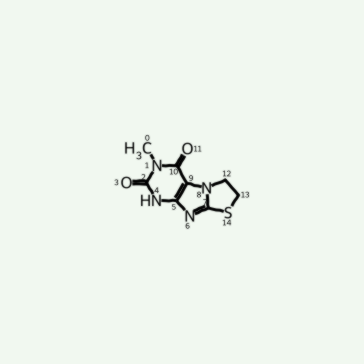 Cn1c(=O)[nH]c2nc3n(c2c1=O)CCS3